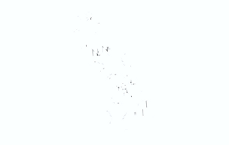 Cc1c(F)cccc1N(CC(C)C)S(=O)(=O)c1ccc2nn(CC3CCOCC3)cc2c1